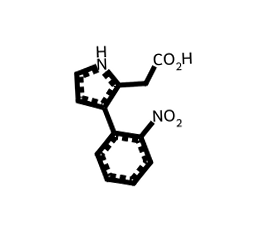 O=C(O)Cc1[nH]ccc1-c1ccccc1[N+](=O)[O-]